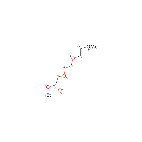 CCOC([O])COCCOCCOC